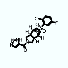 O=C(c1cnn[nH]1)N1C[C@@H]2[C@H](C1)[C@H]1CC[C@@H]2N1S(=O)(=O)c1cc(F)ccc1Cl